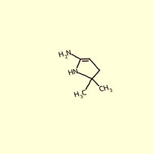 CC1(C)CC=C(N)N1